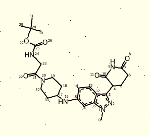 Cn1nc(C2CCC(=O)NC2=O)c2ccc(NC3CCN(C(=O)CNC(=O)OC(C)(C)C)CC3)cc21